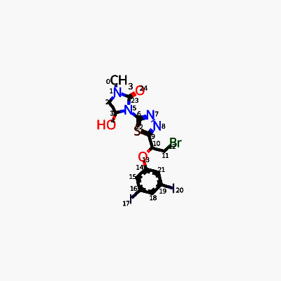 CN1CC(O)N(c2nnc(C(CBr)Oc3cc(I)cc(I)c3)s2)C1=O